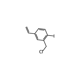 C=Cc1ccc(I)c(CCl)c1